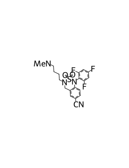 CNCCCCN1Cc2cc(C#N)ccc2N(c2c(F)cc(F)cc2F)S1(=O)=O